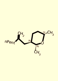 C=C(CCCCC)C[C@H]1CC[C@H](C)O[C@@H]1C